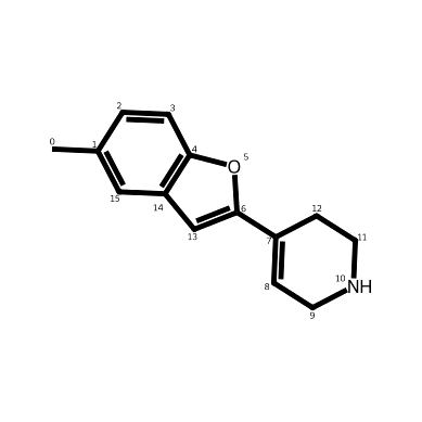 Cc1ccc2oc(C3=CCNCC3)cc2c1